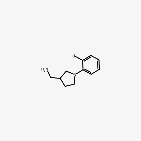 NCC1CCN(c2ccccc2Cl)C1